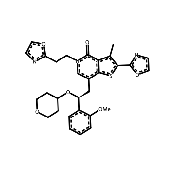 COc1ccccc1[C@H](Cc1cn(CCc2ncco2)c(=O)c2c(C)c(-c3ncco3)sc12)OC1CCOCC1